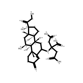 C[C@]12CCC(=O)C=C1C(OC(CC(=O)O)(CC(=O)O)C(=O)O)C[C@@H]1[C@@H]2[C@@H](O)C[C@@]2(C)[C@H]1CC[C@]2(O)C(=O)CO